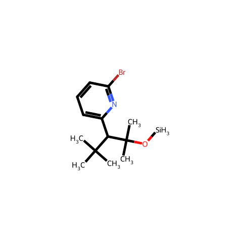 CC(C)(C)C(c1cccc(Br)n1)C(C)(C)O[SiH3]